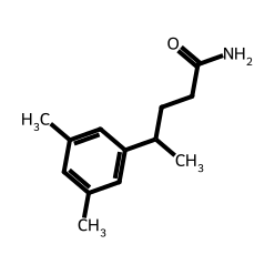 Cc1cc(C)cc(C(C)CCC(N)=O)c1